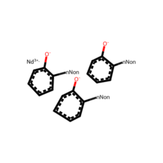 CCCCCCCCCc1ccccc1[O-].CCCCCCCCCc1ccccc1[O-].CCCCCCCCCc1ccccc1[O-].[Nd+3]